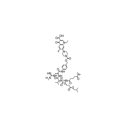 CCn1cc(C(=O)O)c(=O)c2cc(F)c(N3CCN(C(=O)OCc4ccc(NC(=O)[C@H](CNC(=N)N)NC(=O)[C@@H](NC(=O)[C@H](CCC(=O)OCC(C)C)NC(=O)CCCC(=O)N(C)C)C(C)C)cc4)CC3)cc21